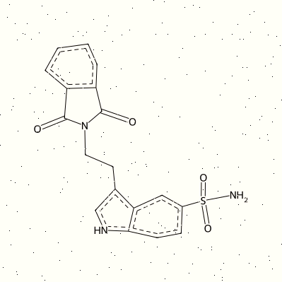 NS(=O)(=O)c1ccc2[nH]cc(CCN3C(=O)c4ccccc4C3=O)c2c1